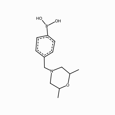 CC1CN(Cc2ccc(B(O)O)cc2)CC(C)O1